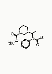 CCC(=O)N(c1ccccc1)C(C)C1CCCN(C(=O)OC(C)(C)C)C1